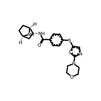 O=C(N[C@@H]1C[C@H]2CC[C@@H]1N2)c1ccc(Sc2cnc(N3CCOCC3)s2)cc1